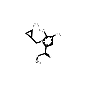 COC(=O)c1cc(C)c(C)n1CC1C[C@@H]1C